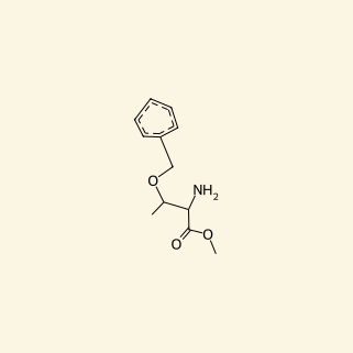 COC(=O)C(N)C(C)OCc1ccccc1